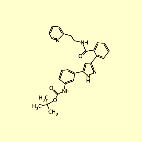 CC(C)(C)OC(=O)Nc1cccc(-c2cc(-c3ccccc3C(=O)NCCc3ccccn3)n[nH]2)c1